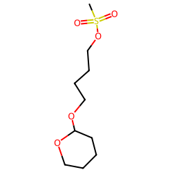 CS(=O)(=O)OCCCCOC1CCCCO1